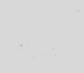 NCCNS(=O)(=O)c1ccc(-c2cccc(SC[C@H](O)CN)c2)c(-c2nn[nH]n2)c1S(N)(=O)=O